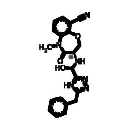 CN1C(=O)[C@@H](NC(O)c2nnc(Cc3ccccc3)[nH]2)COc2c(C#N)cccc21